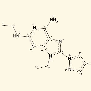 CCNc1nc(N)c2nc(-n3cccn3)n(CC)c2n1